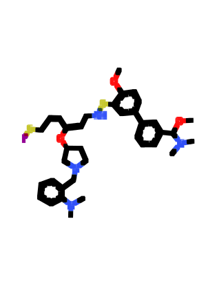 COc1ccc(-c2cccc(C(OC)N(C)C)c2)cc1SNC/C=C(\C=C/CSI)O[C@H]1CCN(Cc2ccccc2N(C)C)C1